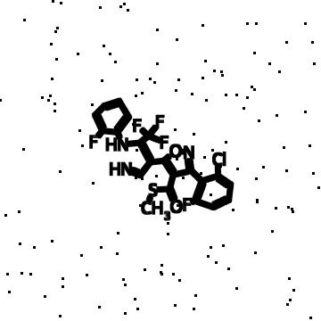 CSC(=O)c1c(-c2c(F)cccc2Cl)noc1/C(C=N)=C(/Nc1ccccc1F)C(F)(F)F